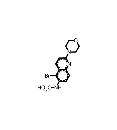 O=C(O)Nc1ccc2nc(N3CCOCC3)ccc2c1Br